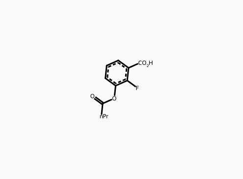 CCCC(=O)Oc1cccc(C(=O)O)c1F